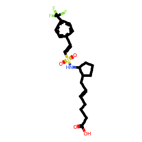 O=C(O)CCCC=CCC1CCCC1NS(=O)(=O)C=Cc1ccc(C(F)(F)F)cc1